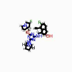 C#Cc1c(F)ccc2cc(O)cc(CNc3nc(OC[C@@]45CCCN4C[C@H](F)C5)nc(N4C[C@H]5CC[C@@H](C4)N5)n3)c12